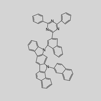 c1ccc(-c2nc(-c3ccccc3)nc(-c3cc(-n4c5ccccc5c5cc6c7ccc8ccccc8c7n(-c7ccc8ccccc8c7)c6cc54)c4ccccc4c3)n2)cc1